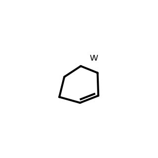 C1=CCCCC1.[W]